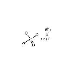 B.O=P([O-])([O-])[O-].[Li+].[Li+].[Li+]